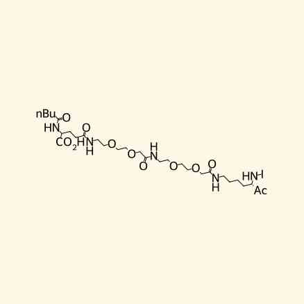 CCCCC(=O)NC(CCC(=O)NCCOCCOCC(=O)NCCOCCOCC(=O)NCCCC[C@H](NI)C(C)=O)C(=O)O